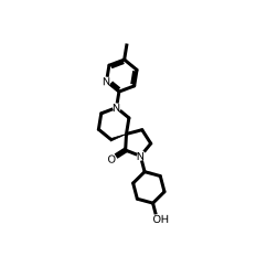 Cc1ccc(N2CCC[C@]3(CCN(C4CCC(O)CC4)C3=O)C2)nc1